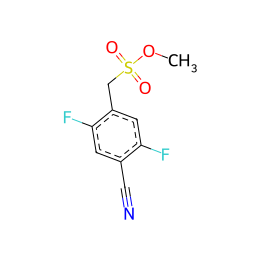 COS(=O)(=O)Cc1cc(F)c(C#N)cc1F